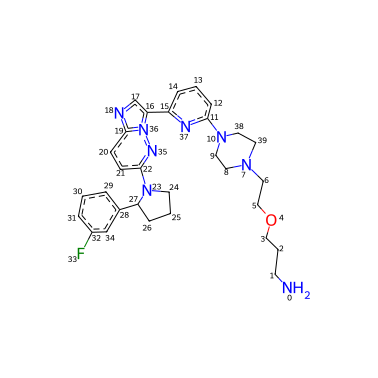 NCCCOCCN1CCN(c2cccc(-c3cnc4ccc(N5CCCC5c5cccc(F)c5)nn34)n2)CC1